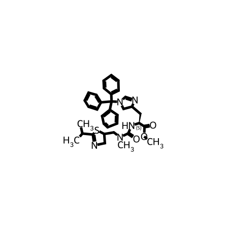 COC(=O)[C@H](CC1CN(C(c2ccccc2)(c2ccccc2)c2ccccc2)C=N1)NC(=O)N(C)CC1CN=C(C(C)C)S1